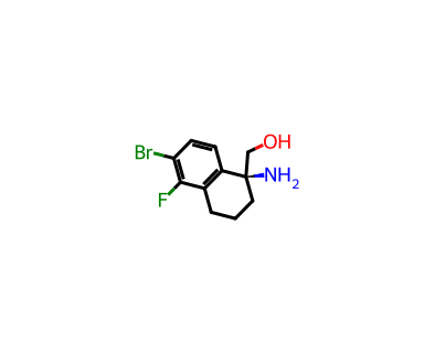 N[C@@]1(CO)CCCc2c1ccc(Br)c2F